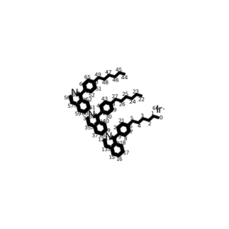 CCCCCCc1ccc(-c2nccc3ccccc23)cc1.CCCCCCc1ccc(-c2nccc3ccccc23)cc1.CCCCCCc1ccc(-c2nccc3ccccc23)cc1.[Ir]